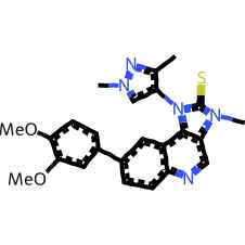 COc1ccc(-c2ccc3ncc4c(c3c2)n(-c2cn(C)nc2C)c(=S)n4C)cc1OC